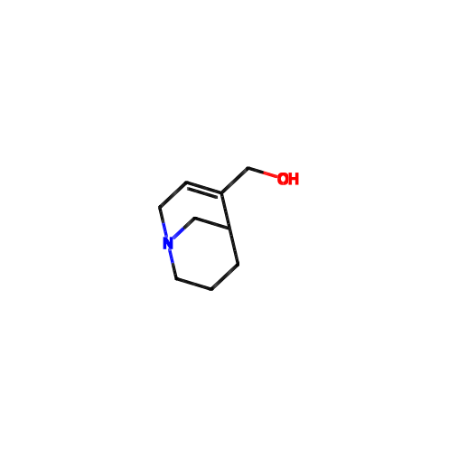 OCC1=CCN2CCCC1C2